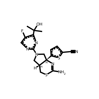 CC(C)(O)c1nc(N2C[C@H]3CSC(N)=N[C@@]3(c3ccc(C#N)s3)C2)ncc1F